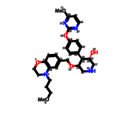 COCCCN1CCOc2ccc(COC3CNC[C@@H](O)[C@@H]3c3ccc(Oc4nccc(OC)n4)cc3)cc21